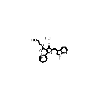 Cl.O=C(OCCO)C1=C(C2=CC=CC=CN2)O/C(=C\c2c[nH]c3ncccc23)C1=O